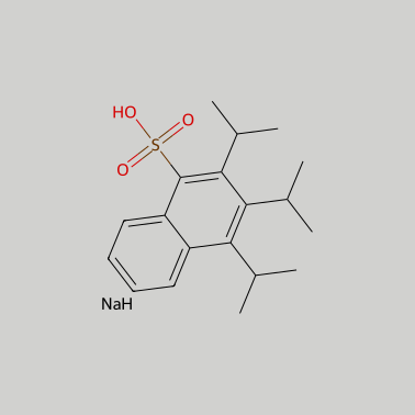 CC(C)c1c(C(C)C)c(S(=O)(=O)O)c2ccccc2c1C(C)C.[NaH]